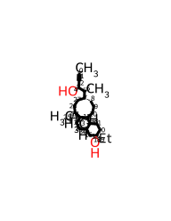 CC#C[C@@H](O)[C@@H](C)[C@@H]1CCC[C@H]2[C@@H](CC[C@@H]3C[C@@](O)(CC)CC[C@@]32C)[C@@H](C)CC1